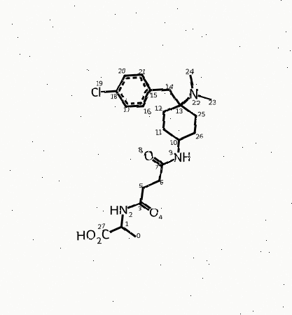 CC(NC(=O)CCC(=O)NC1CCC(Cc2ccc(Cl)cc2)(N(C)C)CC1)C(=O)O